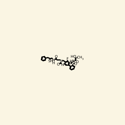 CCCC(=O)N(CCC(=O)NC[C@@H](S)Cc1ccccc1)Cc1ccc(-c2ccccc2S(=O)(=O)NC(=O)[C@H](C)O)cc1F